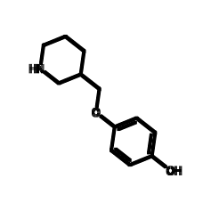 Oc1ccc(OCC2CCCNC2)cc1